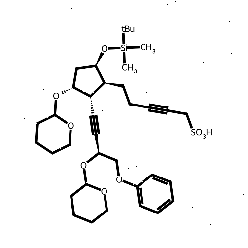 CC(C)(C)[Si](C)(C)O[C@@H]1C[C@@H](OC2CCCCO2)[C@@H](C#C[C@@H](COc2ccccc2)OC2CCCCO2)[C@@H]1CCC#CCS(=O)(=O)O